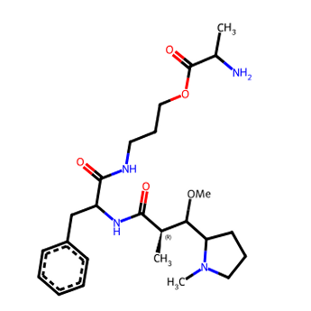 COC(C1CCCN1C)[C@@H](C)C(=O)NC(Cc1ccccc1)C(=O)NCCCOC(=O)C(C)N